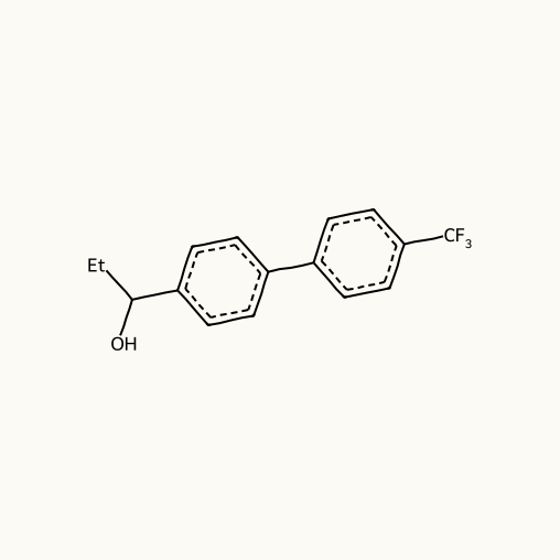 CCC(O)c1ccc(-c2ccc(C(F)(F)F)cc2)cc1